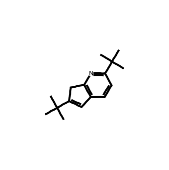 CC(C)(C)C1=Cc2ccc(C(C)(C)C)nc2C1